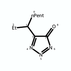 CCCCCC(CC)C1=NN=NC1=O